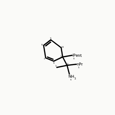 CCCC(C)C1(C(C)(N)CCC)C=CC=[C]C1